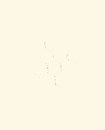 CCOc1nc(OCC)c([N+](=O)[O-])cc1C(C)=O